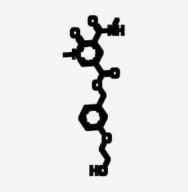 CNC(=O)c1cc(C(=O)OCc2cccc(OCCO)c2)cn(C)c1=O